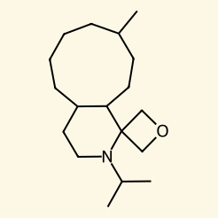 CC1CCCCC2CCN(C(C)C)C3(COC3)C2CC1